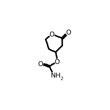 NC(=O)OC1CCOC(=O)C1